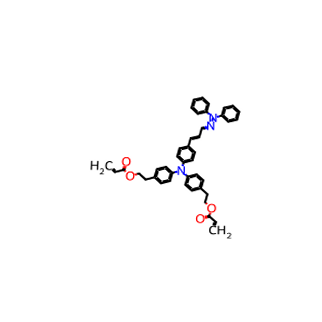 C=CC(=O)OCCc1ccc(N(c2ccc(C=CC=NN(c3ccccc3)c3ccccc3)cc2)c2ccc(CCOC(=O)C=C)cc2)cc1